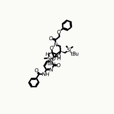 CC(C)(C)[Si](C)(C)C[C@@]12CN(C(=O)COc3ccccc3)O[C@@H]([C@H](n3ccc(NC(=O)c4ccccc4)nc3=O)O1)[C@@H]2O[Si](C)(C)C(C)(C)C